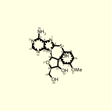 COc1ccc(Sc2nc3c(N)ncnc3n2[C@@H]2O[C@H](CO)C(O)C2O)cc1